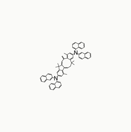 C=C1/C=C2\C(=C/CC(C)(C)c3cc(N(c4ccc5ccccc5c4)c4cccc5ccccc45)cc(C)c31)c1c(C)cc(N(c3ccc4ccccc4c3)c3cccc4ccccc34)cc1C2(C)C